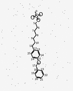 CS(=O)(=O)OCCCCCCCc1ccc(OCc2ccccc2)cc1